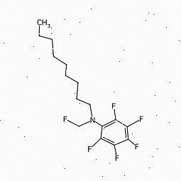 CCCCCCCCCN(CF)c1c(F)c(F)c(F)c(F)c1F